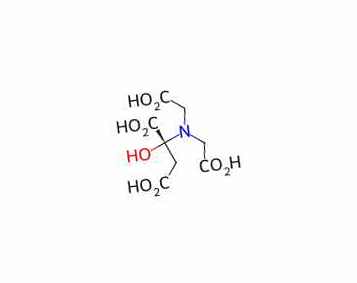 O=C(O)CN(CC(=O)O)[C@@](O)(CC(=O)O)C(=O)O